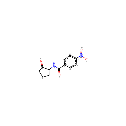 O=C(NC1CCCC1=O)c1ccc([N+](=O)[O-])cc1